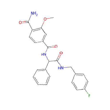 COc1cc(C(=O)NC(C(=O)NCc2ccc(F)cc2)c2ccccc2)ccc1C(N)=O